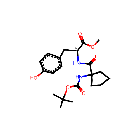 COC(=O)[C@H](Cc1ccc(O)cc1)NC(=O)C1(NC(=O)OC(C)(C)C)CCCC1